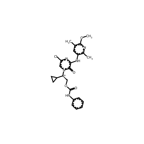 COc1nc(C)c(Nc2nc(Cl)cn([C@@H](COC(=O)Nc3ccccc3)C3CC3)c2=O)cc1C